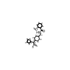 COc1ccccc1C(=O)NCC1CCC(C(c2cccs2)N(C)C)CC1